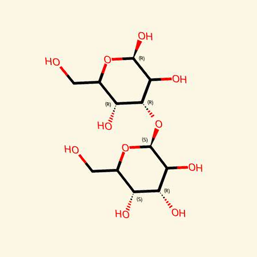 OCC1O[C@@H](O[C@H]2C(O)[C@H](O)OC(CO)[C@H]2O)C(O)[C@H](O)[C@@H]1O